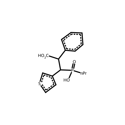 CCCP(=O)(O)C(c1ccsc1)C(C(=O)O)c1ccccc1